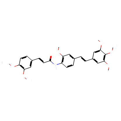 COc1cc(/C=C/c2cc(OC)c(OC)c(OC)c2)ccc1NC(=O)/C=C/c1ccc(OC)c(OC)c1